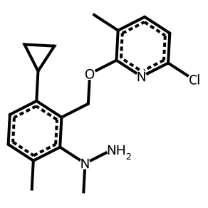 Cc1ccc(Cl)nc1OCc1c(C2CC2)ccc(C)c1N(C)N